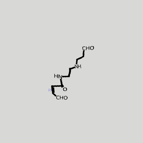 O=C/C=C\C(=O)NCCNCCC=O